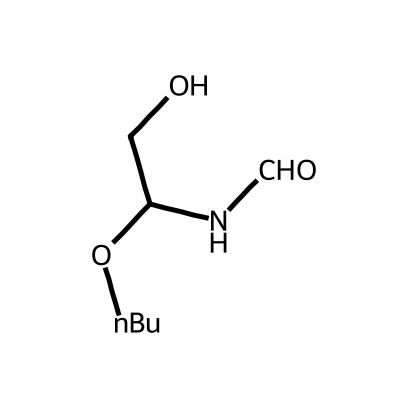 CCCCOC(CO)NC=O